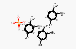 CCc1cc[c]([Ca+])c(C(C)(C)C)c1.CCc1cc[c]([Ca+])c(C(C)(C)C)c1.CCc1cc[c]([Ca+])c(C(C)(C)C)c1.O=P([O-])([O-])[O-]